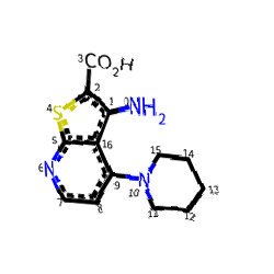 Nc1c(C(=O)O)sc2nccc(N3CCCCC3)c12